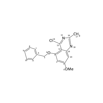 COc1cc(OCc2ccccc2)c2c(Cl)nc(C)nc2c1